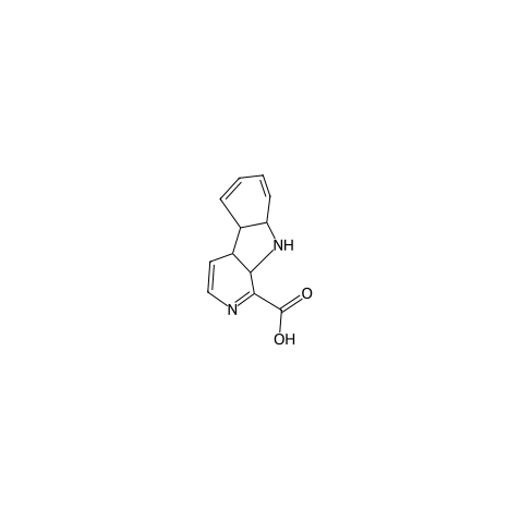 O=C(O)C1=NC=CC2C1NC1C=CC=CC12